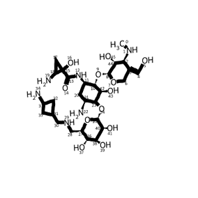 CN[C@H]1/C(=C\O)CO[C@H](O[C@H]2[C@H](NC(=O)C3(O)CC3N)C[C@H](N)C(O[C@H]3O[C@H](CNCC4CC(N)C4)[C@@H](O)[C@H](O)[C@H]3O)[C@@H]2O)[C@@H]1O